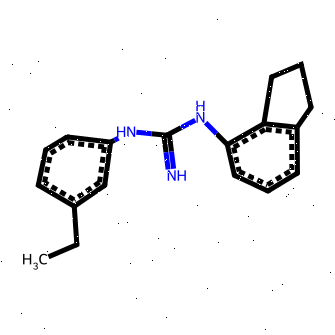 CCc1cccc(NC(=N)Nc2cccc3c2CCC3)c1